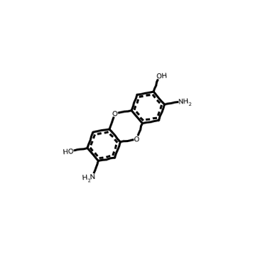 Nc1cc2c(cc1O)Oc1cc(O)c(N)cc1O2